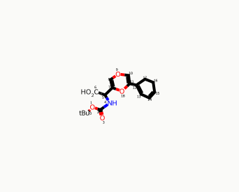 CC(C)(C)OC(=O)NC(C(=O)O)C1=COC=C(C2=CC=CCC2)O1